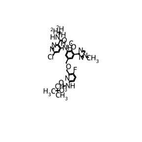 [2H]C([2H])([2H])NC(=O)c1nnc(Cl)cc1Nc1cc(COCc2nc(NC(=O)OC(C)(C)C)ccc2F)cc(-c2ncn(C)n2)c1OC